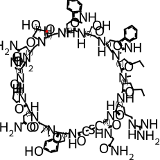 CCCC[C@H]1C(=O)N(C)[C@@H](CCCC)C(=O)N[C@@H](CCCNC(=N)N)C(=O)N[C@H](C(=O)NCC(N)=O)CSCC(=O)N[C@@H](Cc2ccc(O)cc2)C(=O)N(C)[C@@H](C)C(=O)N[C@@H](CC(N)=O)C(=O)N2CCC[C@H]2C(=O)N[C@@H](CN)C(=O)N[C@@H](CC(N)=O)C(=O)N2C[C@H](O)C[C@H]2C(=O)N[C@@H](Cc2c[nH]c3ccccc23)C(=O)N[C@@H](CO)C(=O)N[C@@H](Cc2c[nH]c3ccccc23)C(=O)N1C